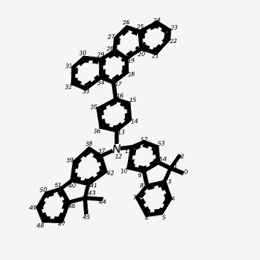 CC1(C)c2ccccc2-c2cc(N(c3ccc(-c4cc5c6ccccc6ccc5c5ccccc45)cc3)c3ccc4c(c3)C(C)(C)c3ccccc3-4)ccc21